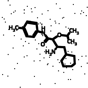 Cc1ccc(NC(=O)C(OC(C)C)[C@H](N)CC2CCCCC2)cc1